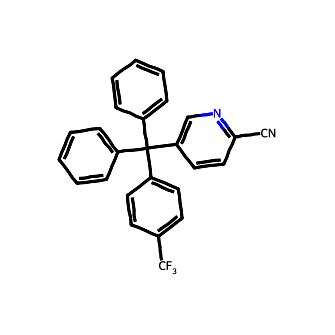 N#Cc1ccc(C(c2ccccc2)(c2ccccc2)c2ccc(C(F)(F)F)cc2)cn1